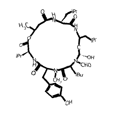 CCC(C)C1C(=O)N(C)C(Cc2ccc(O)cc2)C(=O)N[C@@H](C(C)C)C(=O)OC(C)CC(=O)N[C@@H](CC(C)C)C(=O)NC(CC(C)C)C[C@H](O)N1C=O